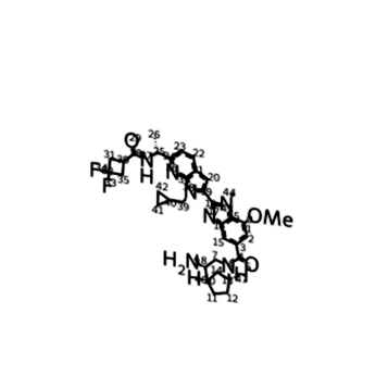 COc1cc(C(=O)N2C[C@H](N)[C@@H]3CC[C@H]2C3)cc2nc(-c3cc4ccc([C@@H](C)NC(=O)C5CC(F)(F)C5)nc4n3CC3CC3)n(C)c12